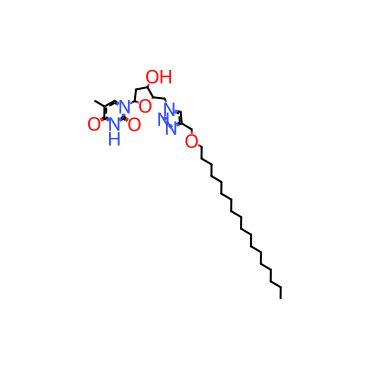 CCCCCCCCCCCCCCCCCCOCc1cn(CC2OC(n3cc(C)c(=O)[nH]c3=O)CC2O)nn1